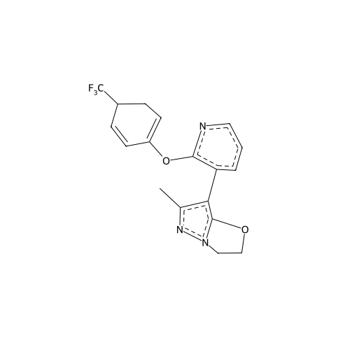 Cc1nn2c(c1-c1cccnc1OC1=CCC(C(F)(F)F)C=C1)OCC2